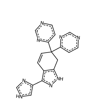 C1=CC(c2ccncn2)(c2ccncn2)Cc2[nH]nc(-c3c[nH]cn3)c21